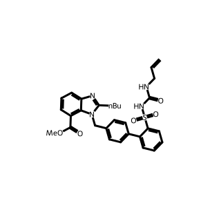 C=CCNC(=O)NS(=O)(=O)c1ccccc1-c1ccc(Cn2c(CCCC)nc3cccc(C(=O)OC)c32)cc1